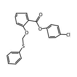 O=C(Oc1ccc(Cl)cc1)c1ccccc1OCSc1ccccc1